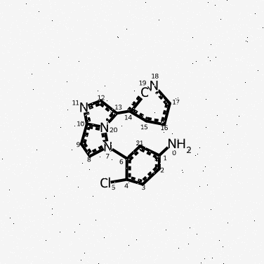 Nc1ccc(Cl)c(-n2ccc3ncc(-c4cccnc4)n32)c1